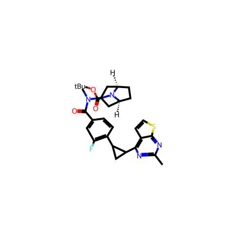 Cc1nc(C2CC2c2ccc(C(=O)N(C)C3C[C@H]4CC[C@@H](C3)N4C(=O)OC(C)(C)C)cc2F)c2ccsc2n1